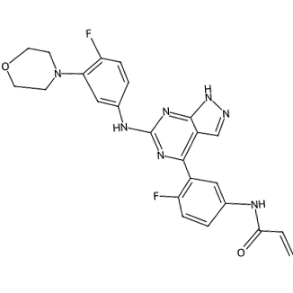 C=CC(=O)Nc1ccc(F)c(-c2nc(Nc3ccc(F)c(N4CCOCC4)c3)nc3[nH]ncc23)c1